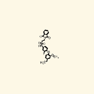 CCc1ccc(Oc2ccc(NS(=O)(=O)CCN3C(=O)c4ccccc4C3=O)cc2F)c(OC)c1